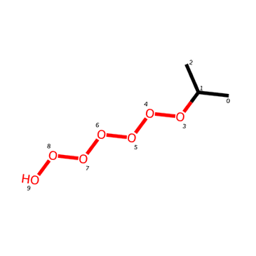 CC(C)OOOOOOO